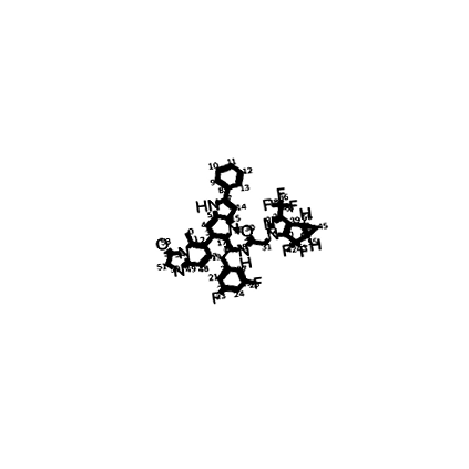 CC1=C(c2cc3[nH]c(-c4ccccc4)cc3nc2[C@H](Cc2cc(F)cc(F)c2)NC(=O)Cn2nc(C(F)(F)F)c3c2C(F)(F)[C@@H]2C[C@H]32)C=CC2=NCC(=O)N21